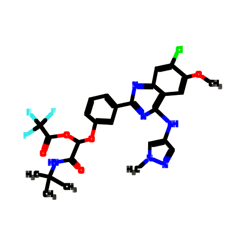 COc1cc2c(Nc3cnn(C)c3)nc(-c3cccc(OC(OC(=O)C(F)(F)F)C(=O)NC(C)(C)C)c3)nc2cc1Cl